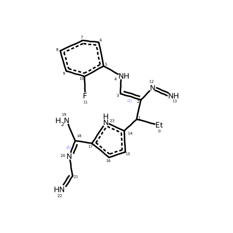 CCC(/C(=C/Nc1ccccc1F)N=N)c1ccc(/C(N)=N\C=N)[nH]1